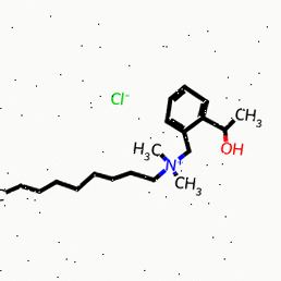 CCCCCCCCC[N+](C)(C)Cc1ccccc1C(C)O.[Cl-]